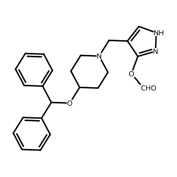 O=COc1n[nH]cc1CN1CCC(OC(c2ccccc2)c2ccccc2)CC1